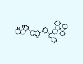 c1ccc(C2(c3ccccc3)c3ccccc3-c3cc4c(-c5cccc(-c6cnc7ccc(-c8ccnc9c8ccc8cccnc89)cc7c6)c5)nc5ccccc5c4cc32)cc1